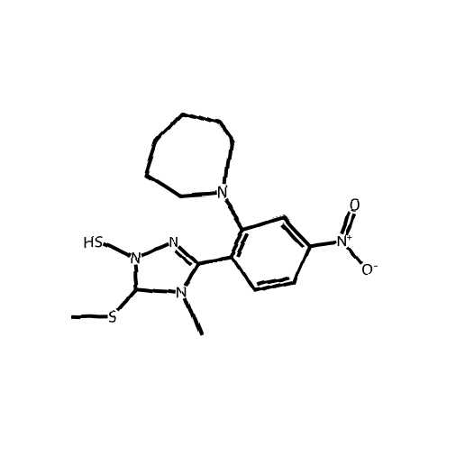 CSC1N(S)N=C(c2ccc([N+](=O)[O-])cc2N2CCCCCC2)N1C